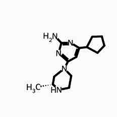 C[C@@H]1CN(c2cc(C3CCCC3)nc(N)n2)CCN1